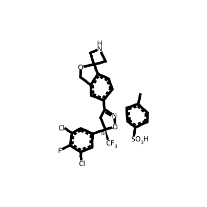 Cc1ccc(S(=O)(=O)O)cc1.Fc1c(Cl)cc([C@]2(C(F)(F)F)CC(c3ccc4c(c3)COC43CNC3)=NO2)cc1Cl